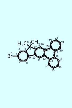 CC1(C)c2cc(Br)ccc2-c2cc3c4ccccc4c4ccccc4c3cc21